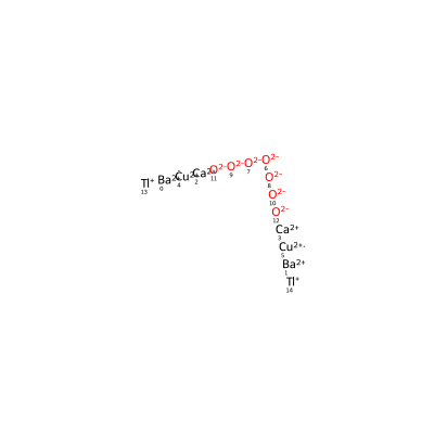 [Ba+2].[Ba+2].[Ca+2].[Ca+2].[Cu+2].[Cu+2].[O-2].[O-2].[O-2].[O-2].[O-2].[O-2].[O-2].[Tl+].[Tl+]